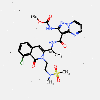 C[C@H](NC(=O)c1c(NC(=O)OC(C)(C)C)nn2cccnc12)c1cc2cccc(Cl)c2c(=O)n1CCN(C)S(C)(=O)=O